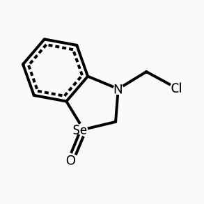 O=[Se]1CN(CCl)c2ccccc21